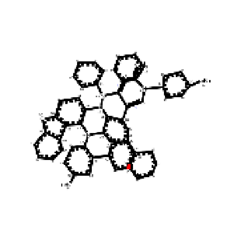 C=C/C=C1\C(=C/N(c2ccccc2)c2ccc(CCCC)cc2)c2cc(-c3ccccc3)cc3c2B(c2ccc4oc5ccccc5c4c2N3c2ccc(CCCC)cc2-c2ccccc2)N1c1ccccc1